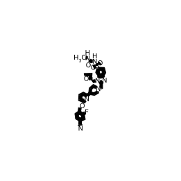 CNC(=O)NS(=O)(=O)c1ccc2nc(CN3CCC(c4cccc(OCc5ccc(C#N)cc5F)n4)CC3)n(C[C@@H]3CCO3)c2c1